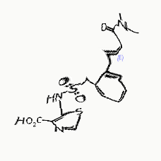 CN(C)C(=O)/C=C/c1ccccc1CS(=O)(=O)Nc1scnc1C(=O)O